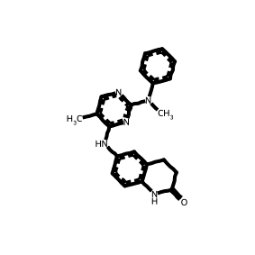 Cc1cnc(N(C)c2ccccc2)nc1Nc1ccc2c(c1)CCC(=O)N2